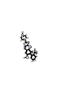 COc1cc(/C=C2/SC(N3CCN(C)CC3)=NC2=O)ccc1-c1ccccc1C(F)(F)F